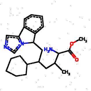 COC(=O)C(N)C(C)CC(CC1c2ccccc2-c2cncn21)C1CCCCC1